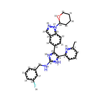 Cc1cccc(-c2[nH]c(NCc3cccc(F)c3)nc2-c2ccc3c(cnn3C3CCCCO3)c2)n1